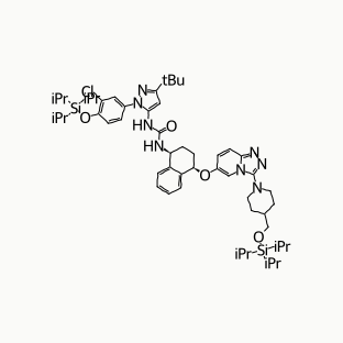 CC(C)[Si](OCC1CCN(c2nnc3ccc(O[C@@H]4CC[C@H](NC(=O)Nc5cc(C(C)(C)C)nn5-c5ccc(O[Si](C(C)C)(C(C)C)C(C)C)c(Cl)c5)c5ccccc54)cn23)CC1)(C(C)C)C(C)C